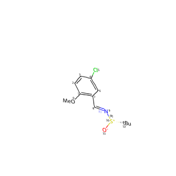 COc1ccc(Cl)cc1/C=N/[S@@+]([O-])C(C)(C)C